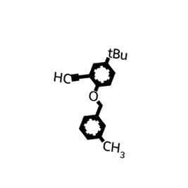 C#Cc1cc(C(C)(C)C)ccc1OCc1cccc(C)c1